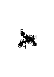 O=C(NCC1CCCO1)c1c(O)c2ncc(Cc3ccc(F)cc3)cc2n(CCNC(=O)N2CCOCC2)c1=O